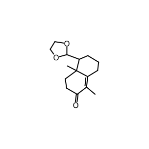 CC1=C2CCCC(C3OCCO3)C2(C)CCC1=O